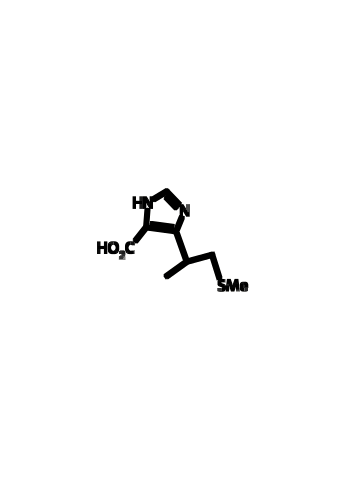 CSCC(C)c1nc[nH]c1C(=O)O